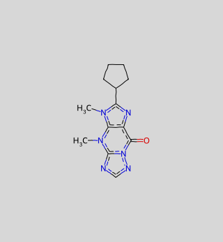 Cn1c(C2CCCC2)nc2c(=O)n3ncnc3n(C)c21